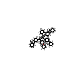 c1ccc(-n2c3ccccc3c3cc(-c4cc5c6ccccc6oc5c5c6ccccc6n(-c6nc(-c7ccc8oc9ccccc9c8c7)c7ccccc7n6)c45)ccc32)cc1